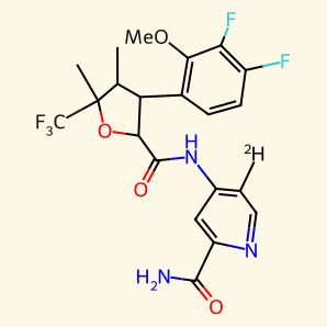 [2H]c1cnc(C(N)=O)cc1NC(=O)C1OC(C)(C(F)(F)F)C(C)C1c1ccc(F)c(F)c1OC